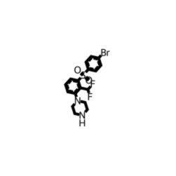 O=S(=O)(c1ccc(Br)cc1)c1cccc(N2CCNCC2)c1C(F)F